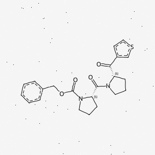 O=C(c1ccsc1)[C@@H]1CCCN1C(=O)[C@@H]1CCCN1C(=O)OCc1ccccc1